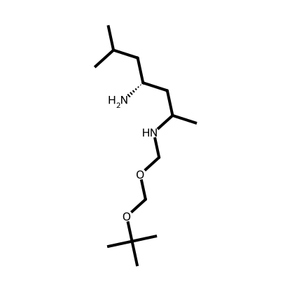 CC(C)C[C@@H](N)CC(C)NCOCOC(C)(C)C